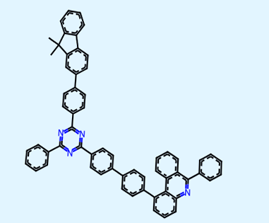 CC1(C)c2ccccc2-c2ccc(-c3ccc(-c4nc(-c5ccccc5)nc(-c5ccc(-c6ccc(-c7cccc8nc(-c9ccccc9)c9ccccc9c78)cc6)cc5)n4)cc3)cc21